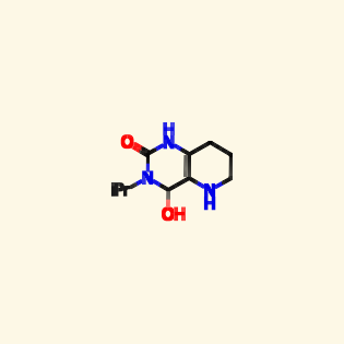 CC(C)N1C(=O)NC2=C(NCCC2)C1O